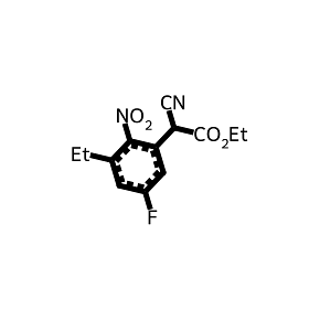 CCOC(=O)C(C#N)c1cc(F)cc(CC)c1[N+](=O)[O-]